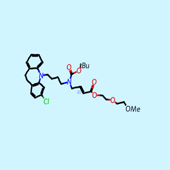 COCCOCCOC(=O)/C=C/CN(CCCCN1c2ccccc2CCc2ccc(Cl)cc21)C(=O)OC(C)(C)C